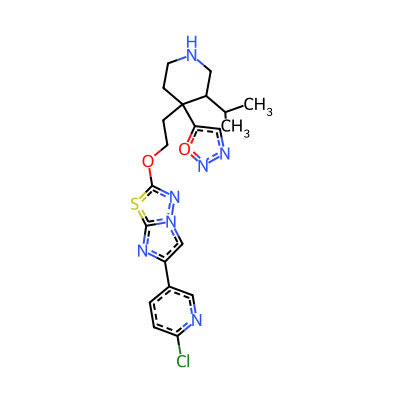 CC(C)C1CNCCC1(CCOc1nn2cc(-c3ccc(Cl)nc3)nc2s1)c1cnno1